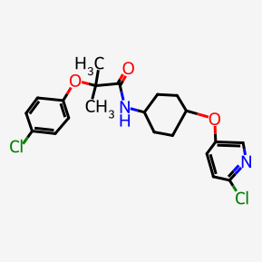 CC(C)(Oc1ccc(Cl)cc1)C(=O)NC1CCC(Oc2ccc(Cl)nc2)CC1